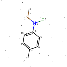 CSN(F)c1ccc(C)cc1